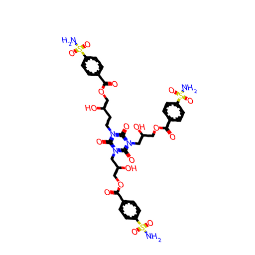 NS(=O)(=O)c1ccc(C(=O)OCC(O)CCn2c(=O)n(CC(O)COC(=O)c3ccc(S(N)(=O)=O)cc3)c(=O)n(CC(O)COC(=O)c3ccc(S(N)(=O)=O)cc3)c2=O)cc1